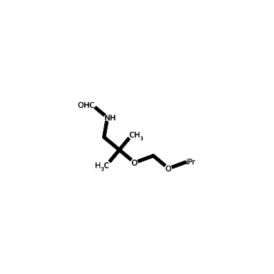 CC(C)OCOC(C)(C)CNC=O